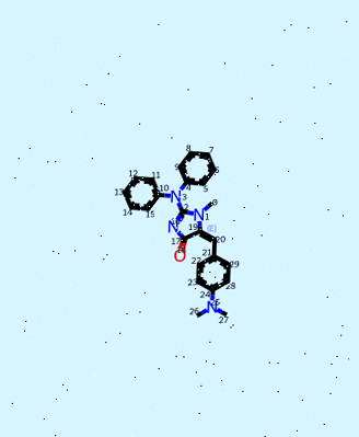 CN1C(N(c2ccccc2)c2ccccc2)=NC(=O)/C1=C\c1ccc(N(C)C)cc1